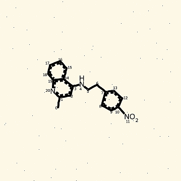 Cc1cc(NCCc2ccc([N+](=O)[O-])cc2)c2ccccc2n1